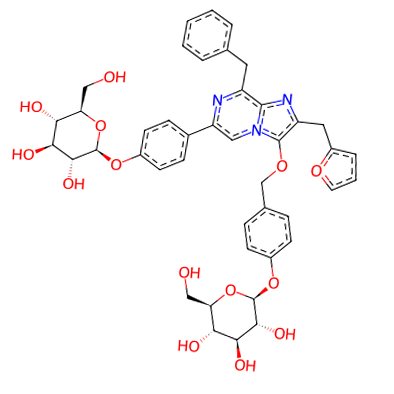 OC[C@H]1O[C@@H](Oc2ccc(COc3c(Cc4ccco4)nc4c(Cc5ccccc5)nc(-c5ccc(O[C@@H]6O[C@H](CO)[C@@H](O)[C@H](O)[C@H]6O)cc5)cn34)cc2)[C@H](O)[C@@H](O)[C@@H]1O